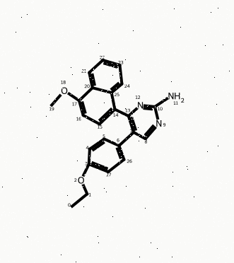 CCOc1ccc(-c2cnc(N)nc2-c2ccc(OC)c3ccccc23)cc1